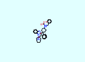 Cc1nc2ccccc2n1C1CC2CCC(C1)N2CCCC1(c2ccccc2)CCC(N(Cc2ccccc2)C(=O)O)CC1